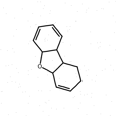 [C]1C=CC2OC3C=CC=CC3C2C1